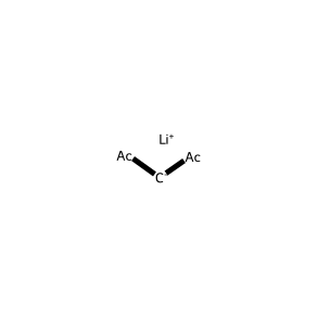 CC(=O)[CH-]C(C)=O.[Li+]